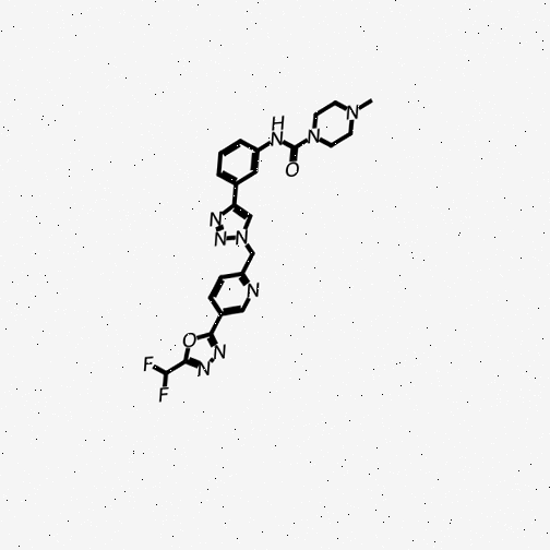 CN1CCN(C(=O)Nc2cccc(-c3cn(Cc4ccc(-c5nnc(C(F)F)o5)cn4)nn3)c2)CC1